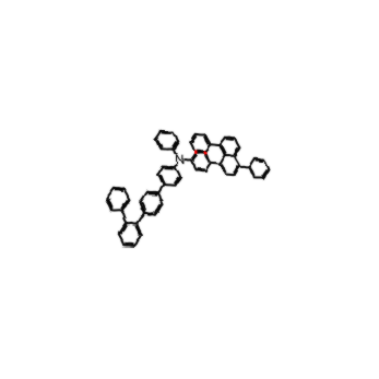 c1ccc(-c2ccccc2-c2ccc(-c3ccc(N(c4ccccc4)c4ccc(-c5ccc(-c6ccccc6)c6cccc(-c7ccccc7)c56)cc4)cc3)cc2)cc1